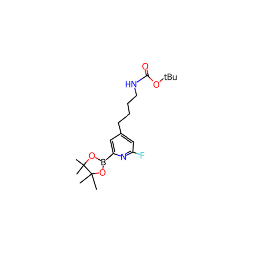 CC(C)(C)OC(=O)NCCCCc1cc(F)nc(B2OC(C)(C)C(C)(C)O2)c1